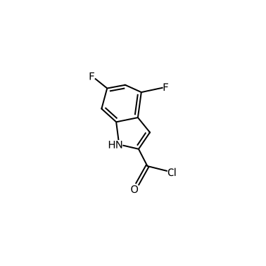 O=C(Cl)c1cc2c(F)cc(F)cc2[nH]1